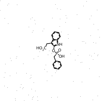 O=C(O)Cc1c(OP(=O)(O)Cc2ccccc2)[nH]c2ccccc12